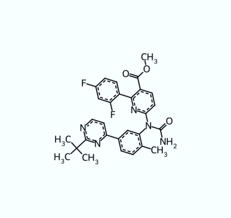 COC(=O)c1ccc(N(C(N)=O)c2cc(-c3ccnc(C(C)(C)C)n3)ccc2C)nc1-c1ccc(F)cc1F